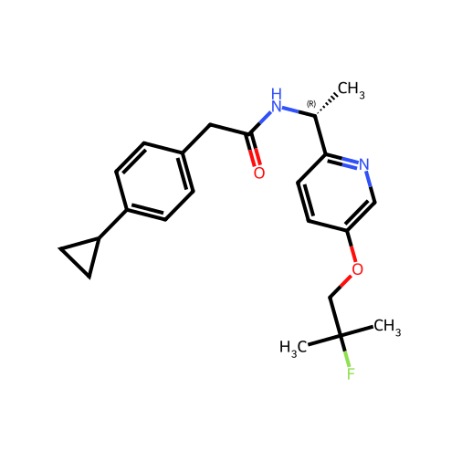 C[C@@H](NC(=O)Cc1ccc(C2CC2)cc1)c1ccc(OCC(C)(C)F)cn1